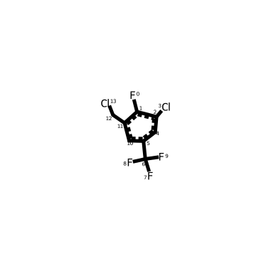 Fc1c(Cl)cc(C(F)(F)F)cc1CCl